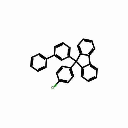 Clc1ccc(C2(c3cccc(-c4ccccc4)c3)c3ccccc3-c3ccccc32)cc1